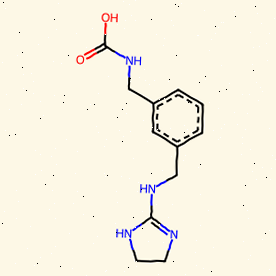 O=C(O)NCc1cccc(CNC2=NCCN2)c1